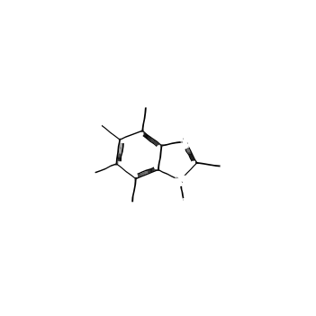 Cc1c(C)c(C)c2c(nc(C)n2O)c1C